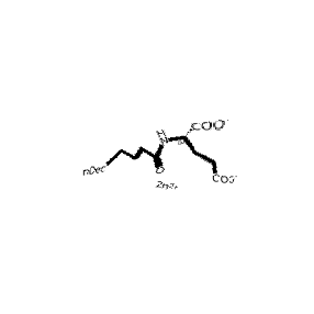 CCCCCCCCCCCCCC(=O)N[C@@H](CCC(=O)[O-])C(=O)[O-].[Zn+2]